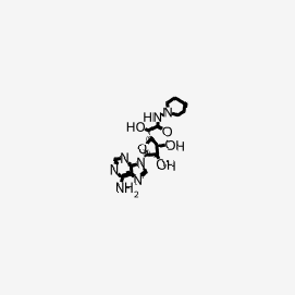 Nc1ncnc2c1ncn2[C@@H]1O[C@H](C(O)C(=O)NN2CCCCC2)C(O)C1O